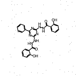 O=C(NNc1nc(NNC(=O)c2ccccc2O)nc(-c2ccccc2)n1)c1ccccc1O